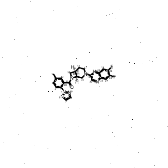 Cc1ccc(-n2nccn2)c(C(=O)N2C[C@H]3CCN(c4cnc5cc(F)c(F)cc5n4)C[C@H]32)c1